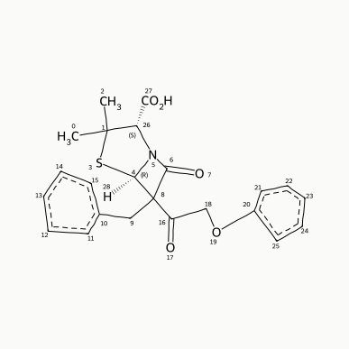 CC1(C)S[C@H]2N(C(=O)C2(Cc2ccccc2)C(=O)COc2ccccc2)[C@H]1C(=O)O